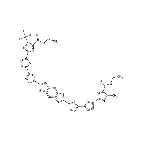 CCOC(=O)c1sc(-c2ccc(-c3ccc(-c4cc5cc6sc(-c7ccc(-c8ccc(-c9nc(C(F)(F)F)c(C(=O)OCC)s9)s8)s7)cc6cc5s4)s3)s2)nc1C